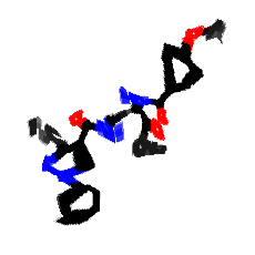 CCOc1ccc(C(=O)N[C@@H](CNC(=O)c2cn(-c3ccccc3)nc2C(F)(F)F)C(=O)OC)cc1